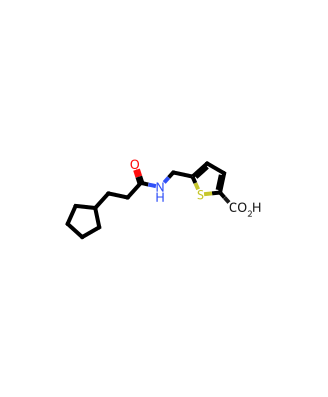 O=C(CCC1CCCC1)NCc1ccc(C(=O)O)s1